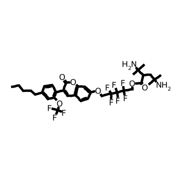 CCCCCc1ccc(-c2cc3ccc(OCC(F)(F)C(F)(F)C(F)(F)COC(=O)C(CC(C)(C)N)C(C)(C)N)cc3oc2=O)c(OC(F)(F)F)c1